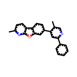 Cc1ccc2c(n1)oc1cc(-c3cc(-c4ccccc4)ncc3C)ccc12